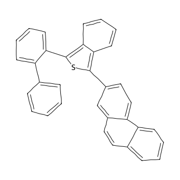 c1ccc(-c2ccccc2-c2sc(-c3ccc4c(ccc5ccccc54)c3)c3ccccc23)cc1